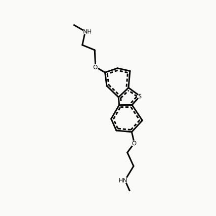 CNCCOc1ccc2c(c1)sc1ccc(OCCNC)cc12